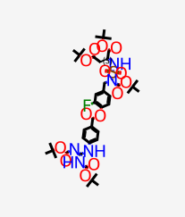 CC(C)(C)OC(=O)C[C@H](NS(=O)(=O)N(Cc1ccc(OC(=O)c2ccc(NC(=NC(=O)OC(C)(C)C)NC(=O)OC(C)(C)C)cc2)c(F)c1)C(=O)OC(C)(C)C)C(=O)OC(C)(C)C